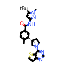 Cc1ccc(C(=O)Nc2cc(C(C)(C)C)n(C)n2)cc1[C@@H]1CCN(c2ncnc3ccsc23)C1